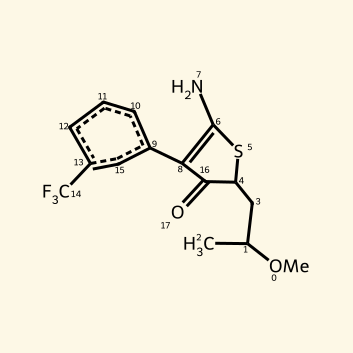 COC(C)CC1SC(N)=C(c2cccc(C(F)(F)F)c2)C1=O